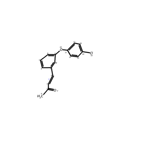 CC(=O)/C=C/c1cccc(Oc2ccc(Cl)cc2)c1